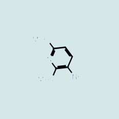 COc1ccc([N+](=O)[O-])c(SC)n1